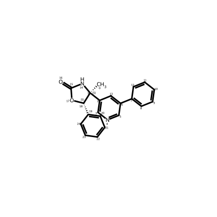 C[C@@]1(c2cncc(-c3ccccc3)c2)NC(=O)O[C@H]1c1ccccc1